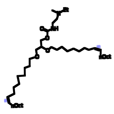 CCCCCCCC/C=C\CCCCCCCCOCC(COC(=O)NCCN(C)CC)OCCCCCCCC/C=C\CCCCCCCC